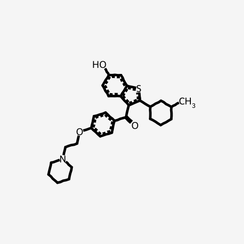 CC1CCCC(c2sc3cc(O)ccc3c2C(=O)c2ccc(OCCN3CCCCC3)cc2)C1